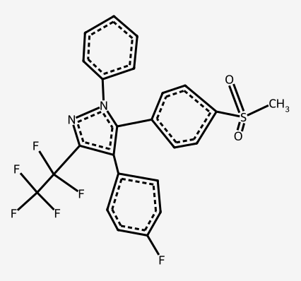 CS(=O)(=O)c1ccc(-c2c(-c3ccc(F)cc3)c(C(F)(F)C(F)(F)F)nn2-c2ccccc2)cc1